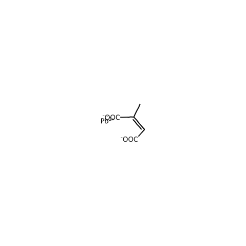 C/C(=C/C(=O)[O-])C(=O)[O-].[Pb+2]